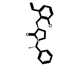 C=Cc1cccc(Cl)c1C[C@H]1CCN([C@@H](C)c2ccccc2)C1=O